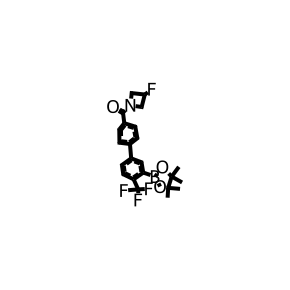 CC1(C)OB(c2cc(-c3ccc(C(=O)N4CC(F)C4)cc3)ccc2C(F)(F)F)OC1(C)C